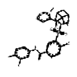 Cn1nccc1C(O)C1(O)C2CC1CC(S(=O)(=O)c1cc(C(=O)Nc3ccc(F)c(F)c3)ccc1Cl)C2